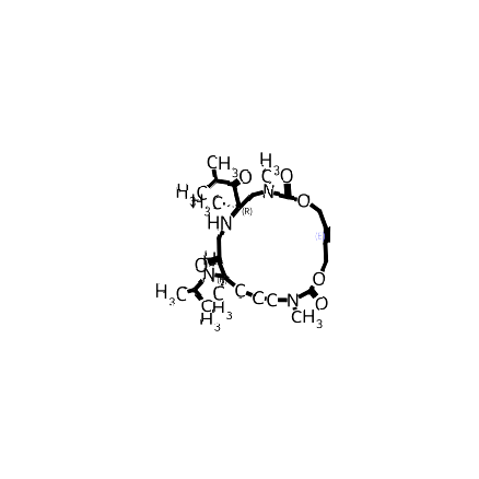 CC(C)N[C@]1(C)CCCN(C)C(=O)OC/C=C/COC(=O)N(C)C[C@](C)(C(=O)C(C)C)NCC1=O